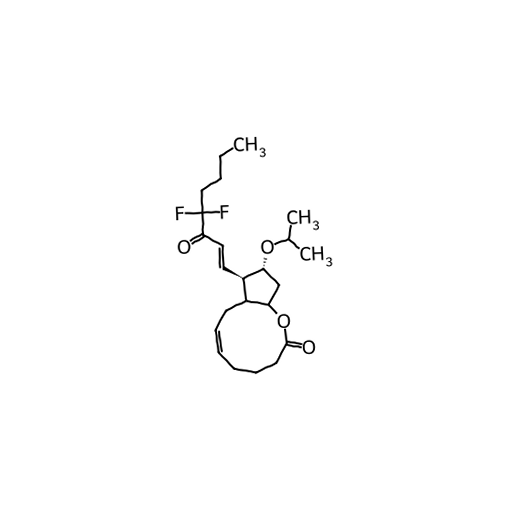 CCCCC(F)(F)C(=O)/C=C/[C@@H]1C2C/C=C\CCCC(=O)OC2C[C@H]1OC(C)C